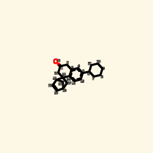 O=C1Cc2cc(C3CCCCC3)ccc2C2(C1)CC1C=CC2C1